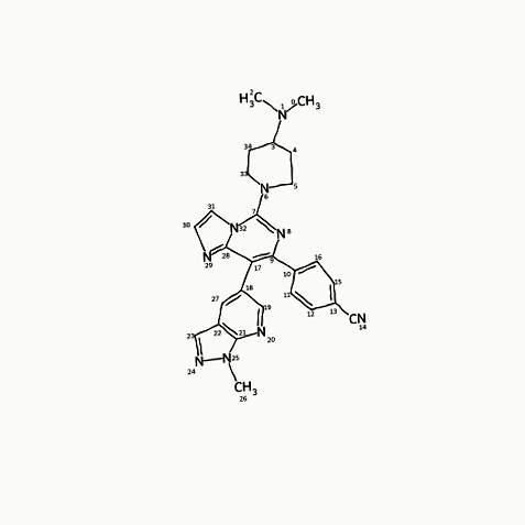 CN(C)C1CCN(c2nc(-c3ccc(C#N)cc3)c(-c3cnc4c(cnn4C)c3)c3nccn23)CC1